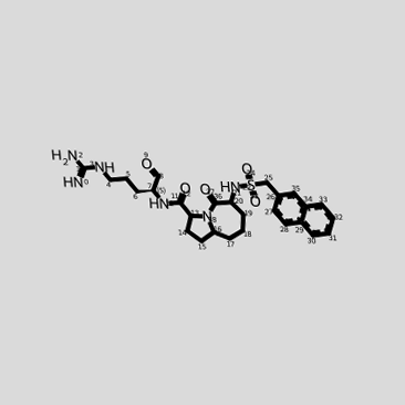 N=C(N)NCCC[C@@H](C=O)NC(=O)C1CCC2CCCC(NS(=O)(=O)Cc3ccc4ccccc4c3)C(=O)N21